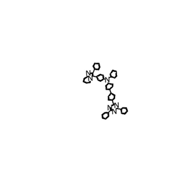 c1ccc(-c2nc(-c3ccccc3)nc(-c3ccc(-c4ccc(N(c5ccccc5)c5ccc(-c6c(-c7ccccc7)nc7ccccn67)cc5)cc4)cc3)n2)cc1